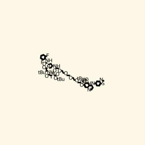 C[C@@H](C(=O)N[C@H](C(=O)N1C[C@H](NC(=O)COCCOCCOCCOCCOc2cc3nccc(Nc4ccc5scnc5c4)c3cc2S(=O)(=O)C(C)(C)C)C[C@H]1C(=O)Nc1c(F)cccc1F)C(C)(C)C)N(C)C(=O)OC(C)(C)C